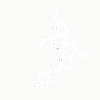 CCNc1nc(C(F)(F)F)ccc1N(C)C(=O)C(C)c1cnc(C(=O)Nc2ccc(F)cc2)nc1